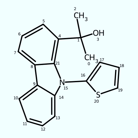 CC(C)(O)c1cccc2c3ccccc3n(-c3cccs3)c12